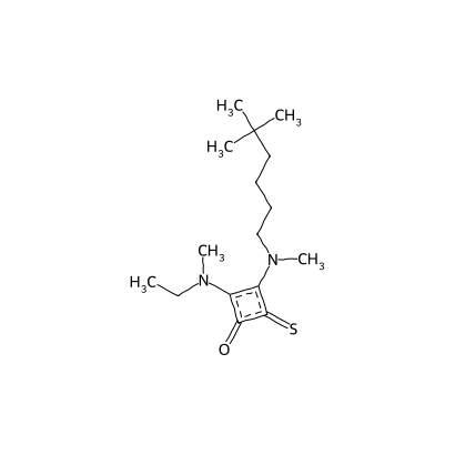 CCN(C)c1c(N(C)CCCCC(C)(C)C)c(=S)c1=O